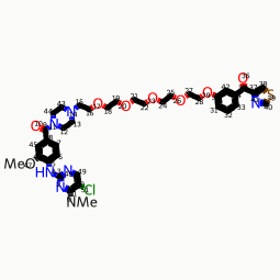 CNc1nc(Nc2ccc(C(=O)N3CCN(CCOCCOCCOCCOCCOc4cccc(C(=O)c5cscn5)c4)CC3)cc2OC)ncc1Cl